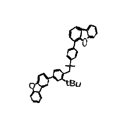 CC(C)(C)c1cc(-c2ccc3oc4ccccc4c3c2)ccc1CC(C)(C)c1ccc(-c2cccc3c2oc2ccccc23)cc1